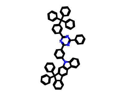 c1ccc(-c2nc(-c3cccc(-n4c5ccccc5c5cc6c(cc54)C(c4ccccc4)(c4ccccc4)c4ccccc4-6)c3)nc(-c3cccc(C(c4ccccc4)(c4ccccc4)c4ccccc4)c3)n2)cc1